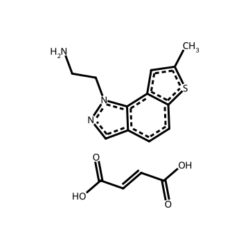 Cc1cc2c(ccc3cnn(CCN)c32)s1.O=C(O)C=CC(=O)O